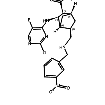 NC(=O)[C@H]1[C@@H]2C[C@@H](CNCc3cccc([N+](=O)[O-])c3)[C@@H](C2)[C@H]1Nc1nc(Cl)ncc1F